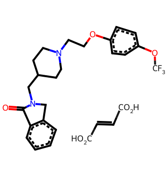 O=C(O)/C=C/C(=O)O.O=C1c2ccccc2CN1CC1CCN(CCOc2ccc(OC(F)(F)F)cc2)CC1